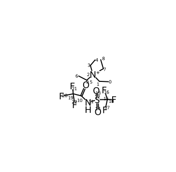 CC[N+](CC)(CC)CC.O=C(NS(=O)(=O)C(F)(F)F)C(F)(F)F